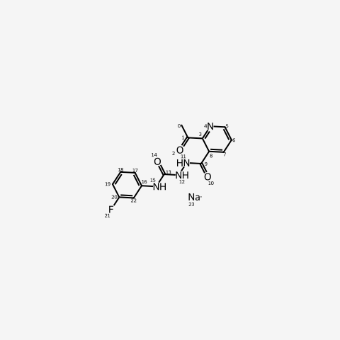 CC(=O)c1ncccc1C(=O)NNC(=O)Nc1cccc(F)c1.[Na]